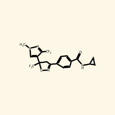 Cn1cc(C2(C(F)(F)F)CC(c3ccc(C(=O)NC4CC4)cc3)=NO2)c(C(F)(F)F)n1